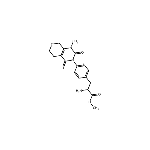 COC(=O)C(N)Cc1ccc(-n2c(=O)c3c(n(C)c2=O)COCC3)nc1